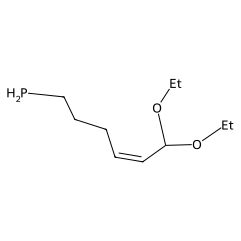 CCOC(/C=C\CCCP)OCC